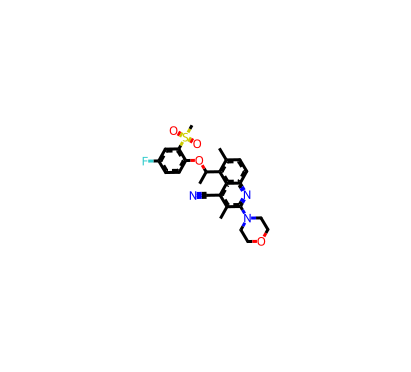 Cc1ccc2nc(N3CCOCC3)c(C)c(C#N)c2c1C(C)Oc1ccc(F)cc1S(C)(=O)=O